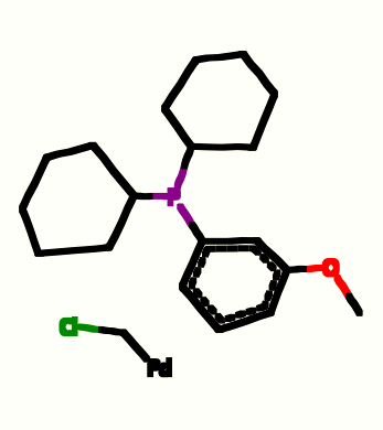 COc1cccc(P(C2CCCCC2)C2CCCCC2)c1.Cl[CH2][Pd]